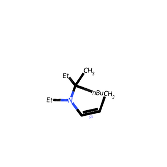 C/C=C\N(CC)C(C)(CC)CCCC